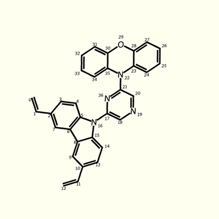 C=Cc1ccc2c(c1)c1cc(C=C)ccc1n2-c1cncc(N2c3ccccc3Oc3ccccc32)n1